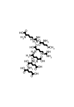 CSCC[C@H](N)C(=O)O.N=C(N)NCCC[C@H](N)C(=O)O.N=C(N)NCCC[C@H](N)C(=O)O.NC(=O)CC[C@H](N)C(=O)O.N[C@@H](CCC(=O)O)C(=O)O.N[C@@H](CCC(=O)O)C(=O)O